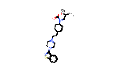 CC(C)CN(C(=O)O)C1CCC(CCN2CCN(c3nsc4ccccc34)CC2)CC1